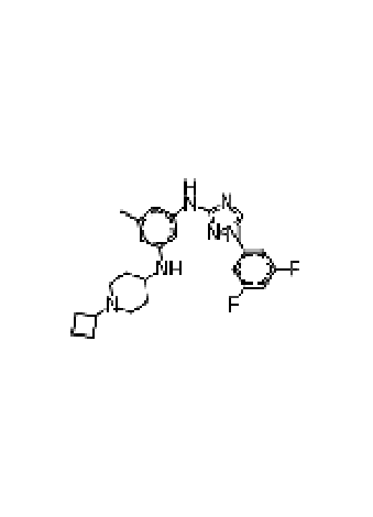 Cc1cc(Nc2ncn(-c3cc(F)cc(F)c3)n2)cc(NC2CCN(C3CCC3)CC2)c1